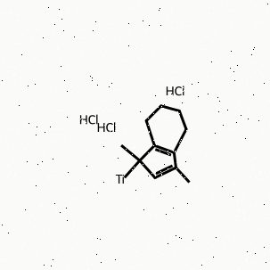 CC1=C[C](C)([Ti])C2=C1CCCC2.Cl.Cl.Cl